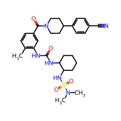 Cc1ccc(C(=O)N2CCC(c3ccc(C#N)cc3)CC2)cc1NC(=O)NC1CCCCC1NS(=O)(=O)N(C)C